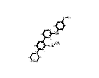 CCOc1ccc(Nc2nccc(-c3ccc(N4CCNCC4)nc3)n2)cc1.CNC